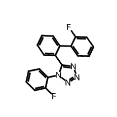 Fc1ccccc1-c1ccccc1-c1nnnn1-c1ccccc1F